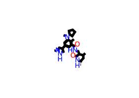 Cc1c(C(=O)NCC2C(=O)N[C@@H](C)CC2C)cc(C2CNN(C)C2)cc1N(C)C1CCCC1